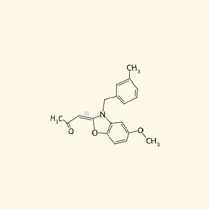 COc1ccc2c(c1)N(Cc1cccc(C)c1)/C(=C/C(C)=O)O2